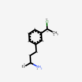 CCC(N)CCc1cccc(C(C)Cl)c1